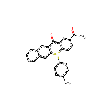 CC(=O)c1ccc2c(c1)c(=O)c1cc3ccccc3cc1[s+]2-c1ccc(C)cc1